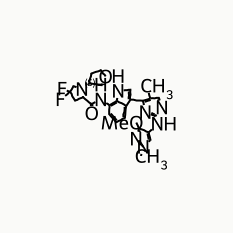 COc1nn(C)cc1Nc1ncc(C)c(-c2c[nH]c3c(NC(=O)C4CC(F)(F)CN4[C@H]4CCOC4)cccc23)n1